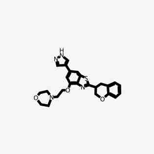 c1ccc2c(c1)CC(c1nc3c(OCCN4CCOCC4)cc(-c4cn[nH]c4)cc3s1)CO2